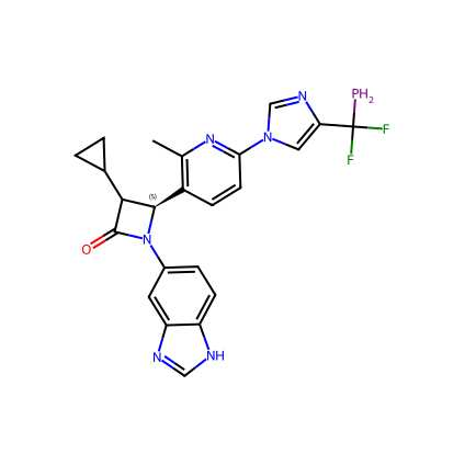 Cc1nc(-n2cnc(C(F)(F)P)c2)ccc1[C@@H]1C(C2CC2)C(=O)N1c1ccc2[nH]cnc2c1